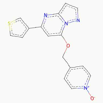 [O-][n+]1ccc(COc2cc(-c3ccsc3)nc3ccnn23)cc1